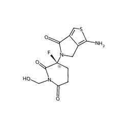 Nc1scc2c1CN([C@]1(F)CCC(=O)N(CO)C1=O)C2=O